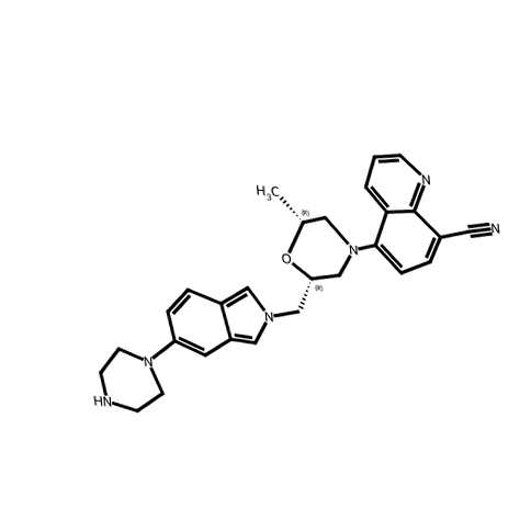 C[C@@H]1CN(c2ccc(C#N)c3ncccc23)C[C@H](Cn2cc3ccc(N4CCNCC4)cc3c2)O1